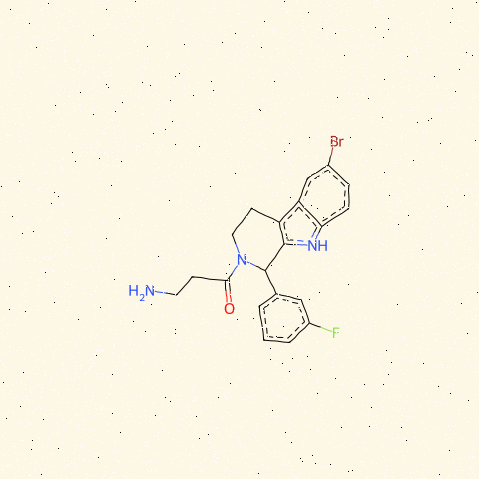 NCCC(=O)N1CCc2c([nH]c3ccc(Br)cc23)C1c1cccc(F)c1